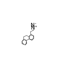 [N-]=[N+]=CCc1cccc2c1CCc1ccccc1-2